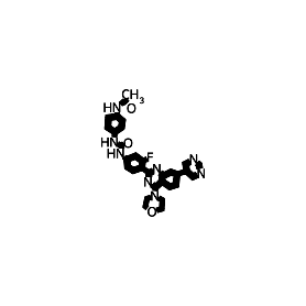 CC(=O)Nc1ccc(NC(=O)Nc2ccc(-c3nc(N4CCOCC4)c4ccc(-c5cncnc5)cc4n3)c(F)c2)cc1